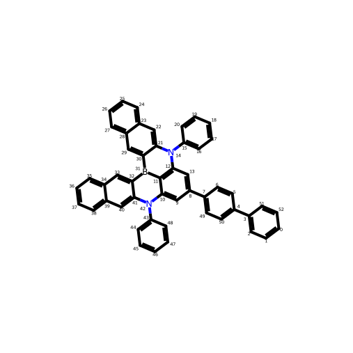 c1ccc(-c2ccc(-c3cc4c5c(c3)N(c3ccccc3)c3cc6ccccc6cc3B5c3cc5ccccc5cc3N4c3ccccc3)cc2)cc1